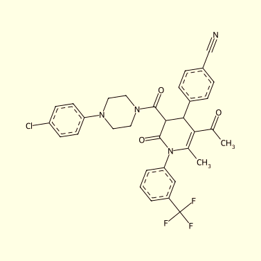 CC(=O)C1=C(C)N(c2cccc(C(F)(F)F)c2)C(=O)C(C(=O)N2CCN(c3ccc(Cl)cc3)CC2)C1c1ccc(C#N)cc1